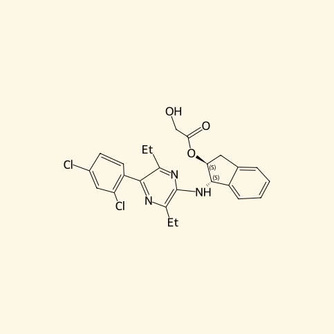 CCc1nc(-c2ccc(Cl)cc2Cl)c(CC)nc1N[C@H]1c2ccccc2C[C@@H]1OC(=O)CO